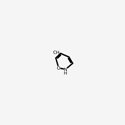 C.C1=CNOC=C1